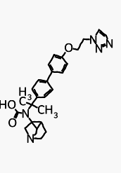 CC(C)(c1ccc(-c2ccc(OCCn3ccnn3)cc2)cc1)N(C(=O)O)C1CN2CCC1CC2